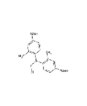 COc1ccc(C(CCl)c2ccc(OC)cc2C)c(C)c1